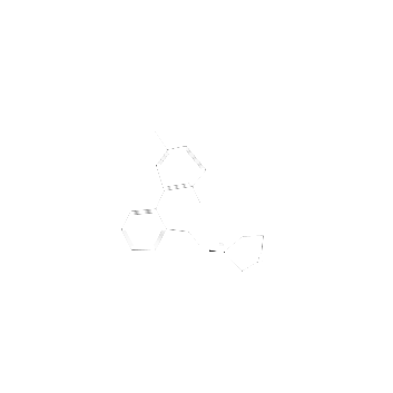 Fc1ccc(F)c(-c2ccccc2CO[C@H]2CCNC2)c1